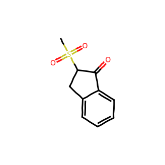 CS(=O)(=O)C1Cc2ccccc2C1=O